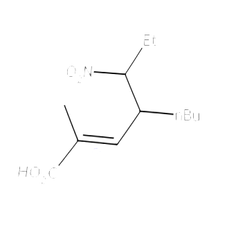 CCCCC(/C=C(\C)C(=O)O)C(CC)[N+](=O)[O-]